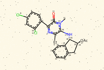 CCc1nc(-c2ccc(Cl)cc2Cl)c(=O)n(C)c1N[C@H]1c2ccccc2C[C@@H]1OC(C)=O